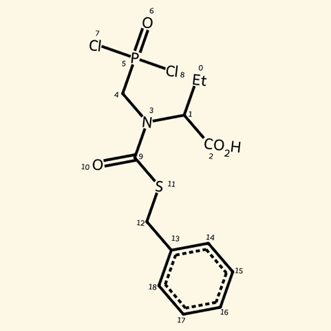 CCC(C(=O)O)N(CP(=O)(Cl)Cl)C(=O)SCc1ccccc1